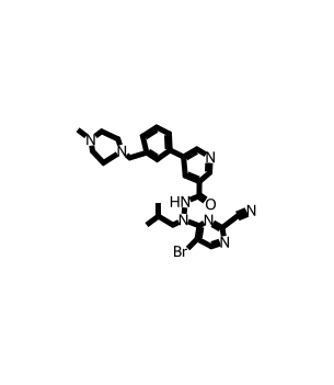 CC(C)CN(NC(=O)c1cncc(-c2cccc(CN3CCN(C)CC3)c2)c1)c1nc(C#N)ncc1Br